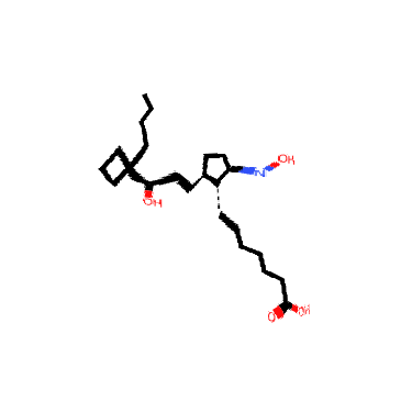 CCCCC1(C(O)C=C[C@H]2CCC(=NO)[C@@H]2CCCCCCC(=O)O)CCC1